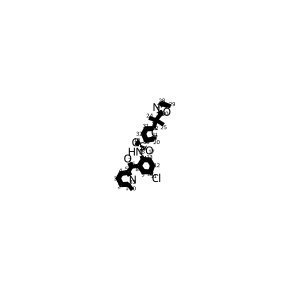 Cc1cccc(C(=O)c2cc(Cl)ccc2NS(=O)(=O)c2ccc(C(C)(C)c3ncco3)cc2)n1